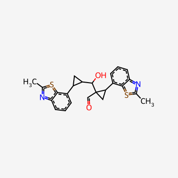 Cc1nc2cccc(C3CC3C(O)C3(C=O)CC3c3cccc4nc(C)sc34)c2s1